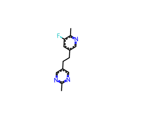 Cc1ncc(CCc2cnc(C)c(F)c2)cn1